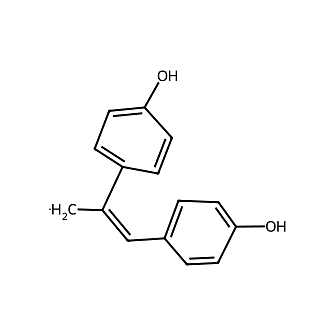 [CH2]C(=Cc1ccc(O)cc1)c1ccc(O)cc1